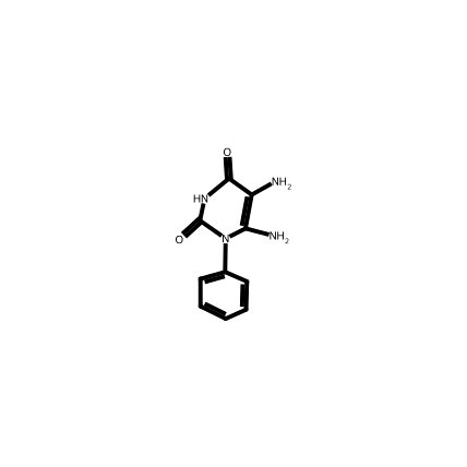 Nc1c(N)n(-c2ccccc2)c(=O)[nH]c1=O